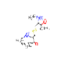 CNC(CSSC[C@H](NC)C(C)=O)C(C)=O